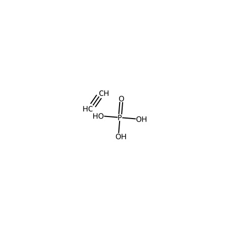 C#C.O=P(O)(O)O